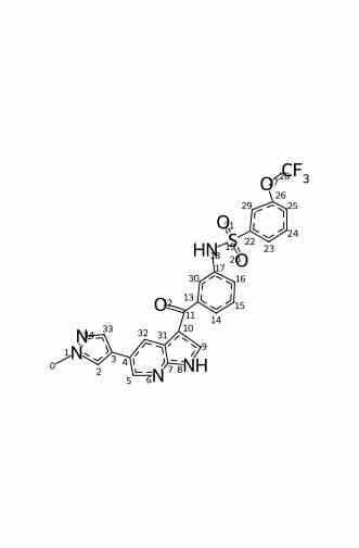 Cn1cc(-c2cnc3[nH]cc(C(=O)c4cccc(NS(=O)(=O)c5cccc(OC(F)(F)F)c5)c4)c3c2)cn1